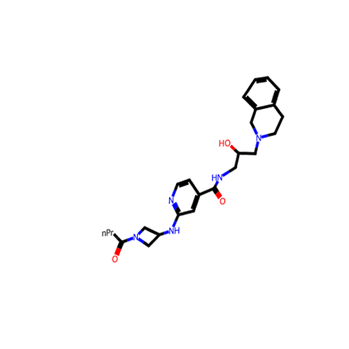 CCCC(=O)N1CC(Nc2cc(C(=O)NCC(O)CN3CCc4ccccc4C3)ccn2)C1